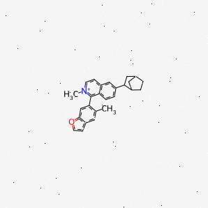 Cc1cc2ccoc2cc1-c1c2ccc(C3CC4CCC3C4)cc2cc[n+]1C